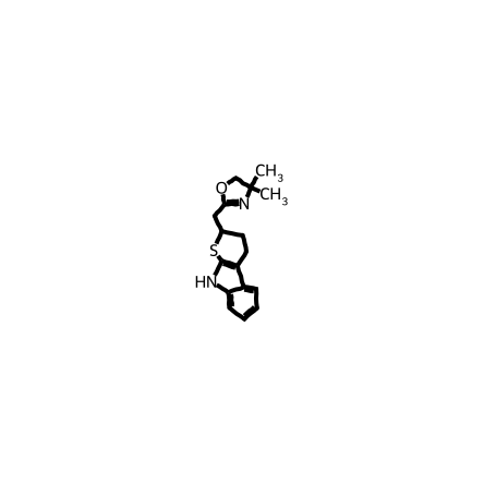 CC1(C)COC(CC2CCc3c([nH]c4ccccc34)S2)=N1